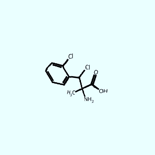 CC(N)(C(=O)O)C(Cl)c1ccccc1Cl